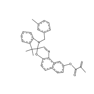 C=C(C)C(=O)Oc1ccc2ccc3c(c2c1)N=CC1(O3)N(Cc2cccc(C)c2)c2ccccc2C1(C)C